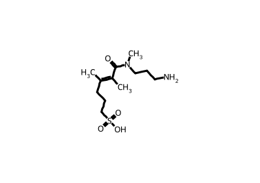 CC(CCCS(=O)(=O)O)=C(C)C(=O)N(C)CCCN